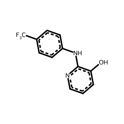 Oc1cccnc1Nc1ccc(C(F)(F)F)cc1